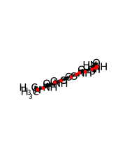 CCN(C)CCCCNC(=O)CCCC(=O)NCCCOCCOCCOCCCNC(=O)CCCCC1SC[C@@H]2NC(=O)N[C@H]12